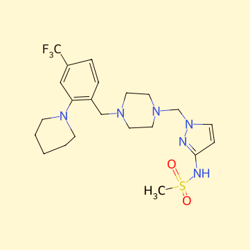 CS(=O)(=O)Nc1ccn(CN2CCN(Cc3ccc(C(F)(F)F)cc3N3CCCCC3)CC2)n1